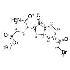 CC(C)(C)OC(=O)CCC(C(N)=O)N1Cc2cc(C(=O)CBr)ccc2C1=O